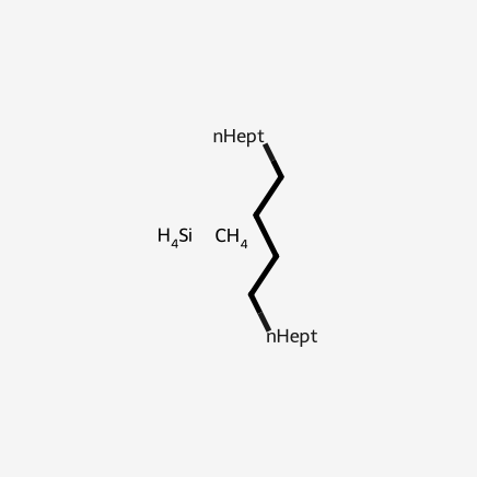 C.CCCCCCCCCCCCCCCCCC.[SiH4]